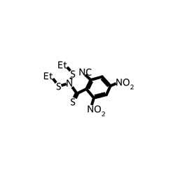 CCSN(SCC)C(=S)c1c(C#N)cc([N+](=O)[O-])cc1[N+](=O)[O-]